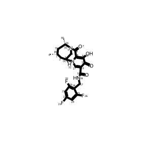 C[C@H]1C[C@H]2CN(C(=O)c3c(O)c(=O)c(C(=O)NCc4c(F)cc(F)cc4F)cn32)[C@@H](C)C1